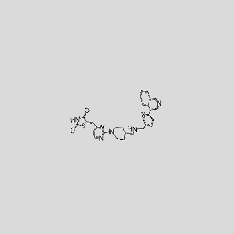 O=C1NC(=O)/C(=C/c2ccnc(N3CCC(CNCc4ccc(-c5cncc6ccccc56)nc4)CC3)n2)S1